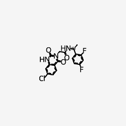 C[C@H](NC(=O)Cn1c(=O)[nH]c2cc(Cl)ccc2c1=O)c1ccc(F)cc1F